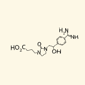 N=C(N)c1ccc(C(O)CN2CCN(CCCC(=O)O)C2=O)cc1